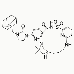 CC1(C)C[C@@H]2CCCNc3cccc(n3)S(=O)(=O)NC(=O)c3ccc(N4CCN(CC56CC7CC(CC(C7)C5)C6)C4=O)nc3N1C2